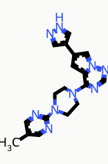 Cc1cnc(N2CCN(c3ncnn4cc(-c5cn[nH]c5)cc34)CC2)nc1